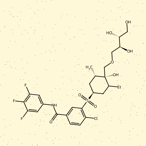 CCC1C[C@@H](S(=O)(=O)c2cc(C(=O)Nc3cc(F)c(F)c(F)c3)ccc2Cl)C[C@H](C)[C@@]1(O)COC[C@H](O)[C@H](O)CO